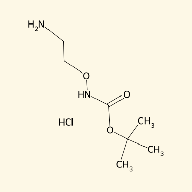 CC(C)(C)OC(=O)NOCCN.Cl